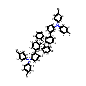 Cc1ccc(N(c2ccc(C)cc2)c2cccc(-c3cccc([Si](c4ccccc4)(c4ccccc4)c4cccc(-c5cccc(N(c6ccc(C)cc6)c6ccc(C)cc6)c5)c4)c3)c2)cc1